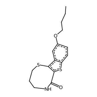 CCCCOc1ccc2sc3c(c2c1)SCCCNC3=O